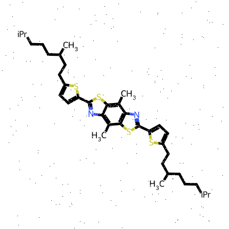 Cc1c2nc(-c3ccc(CCC(C)CCCC(C)C)s3)sc2c(C)c2nc(-c3ccc(CCC(C)CCCC(C)C)s3)sc12